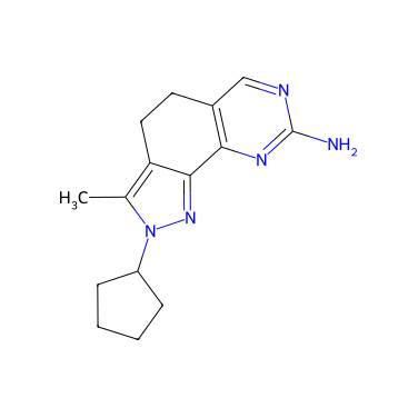 Cc1c2c(nn1C1CCCC1)-c1nc(N)ncc1CC2